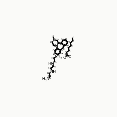 CCCCCCCC(=O)O.CN1CCN2c3ccccc3Cc3ccccc3C2C1.NCCNCCNCCN